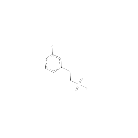 NS(=O)(=O)CCc1cccc(Br)c1